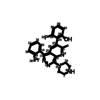 Cc1nc2c(N3CCNCC3)nnc(-c3ccccc3C(C)C)c2cc1-c1c(O)cccc1F